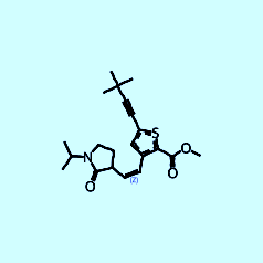 COC(=O)c1sc(C#CC(C)(C)C)cc1/C=C\C1CCN(C(C)C)C1=O